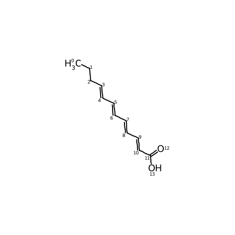 CCCC=CC=CC=CC=CC(=O)O